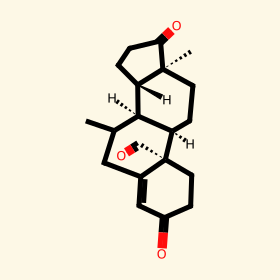 CC1CC2=CC(=O)CC[C@]2(C=O)[C@@H]2CC[C@]3(C)C(=O)CC[C@H]3[C@H]12